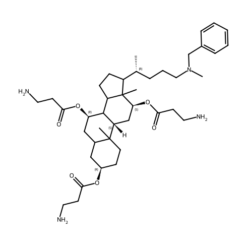 C[C@H](CCCN(C)Cc1ccccc1)C1CCC2C3[C@H](OC(=O)CCN)CC4C[C@H](OC(=O)CCN)CCC4(C)[C@H]3C[C@H](OC(=O)CCN)C21C